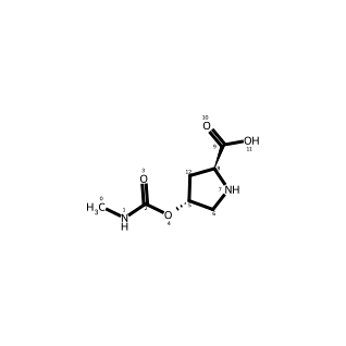 CNC(=O)O[C@H]1CN[C@H](C(=O)O)C1